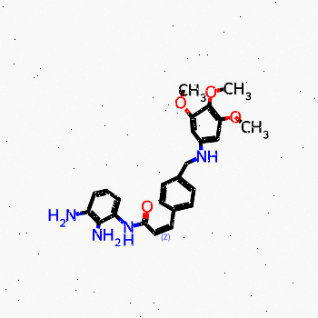 COc1cc(NCc2ccc(/C=C\C(=O)Nc3cccc(N)c3N)cc2)cc(OC)c1OC